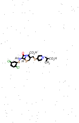 C=C(C[n+]1ccc(SCC2=C(C(=O)O)N3C(=O)[C@H](N(Sc4cc(Cl)ccc4Cl)C(C)=O)[C@H]3SC2)cc1)C(=O)O